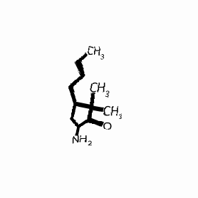 CCCCC1CC(N)C(=O)C1(C)C